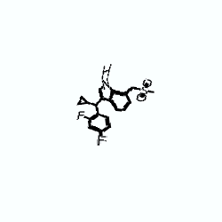 CS(=O)(=O)Cc1cccc2c(C(c3ccc(F)cc3F)C3CC3)c[nH]c12